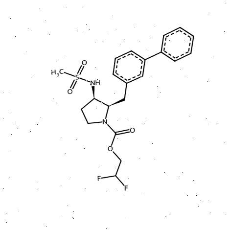 CS(=O)(=O)N[C@@H]1CCN(C(=O)OCC(F)F)[C@@H]1Cc1cccc(-c2ccccc2)c1